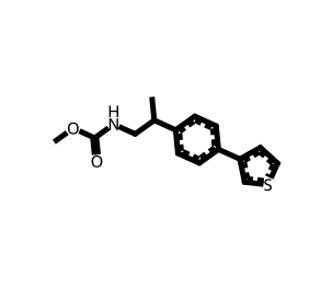 COC(=O)NCC(C)c1ccc(-c2ccsc2)cc1